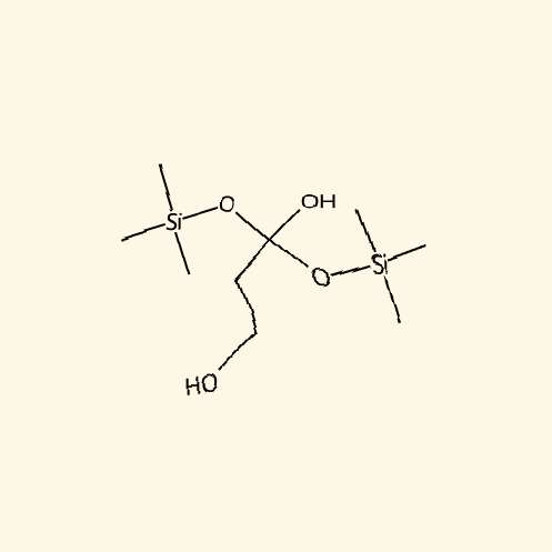 C[Si](C)(C)OC(O)(CCO)O[Si](C)(C)C